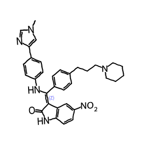 Cn1cnc(-c2ccc(N/C(=C3\C(=O)Nc4ccc([N+](=O)[O-])cc43)c3ccc(CCCN4CCCCC4)cc3)cc2)c1